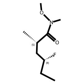 CC[C@@H](F)C[C@H](C)C(=O)N(C)OC